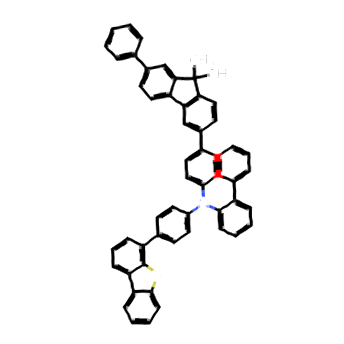 CC1(C)c2ccc(-c3ccc(N(c4ccc(-c5cccc6c5sc5ccccc56)cc4)c4ccccc4-c4ccccc4)cc3)cc2-c2ccc(-c3ccccc3)cc21